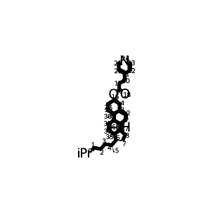 CC(C)CCC[C@@H](C)[C@H]1CC[C@H]2[C@@H]3CC=C4C[C@@H](OC(=O)CCc5ccncc5)CC[C@]4(C)C3CC[C@]12C